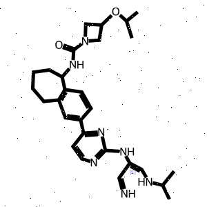 CC(C)N/C=C(\C=N)Nc1nccc(-c2ccc3c(c2)CCCCC3NC(=O)N2CC(OC(C)C)C2)n1